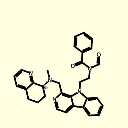 CN(Cc1nccc2c3ccccc3n(CCN(C=O)C(=O)c3ccccc3)c12)[C@H]1CCCc2cccnc21